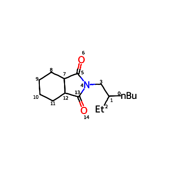 CCCCC(CC)CN1C(=O)C2CCCCC2C1=O